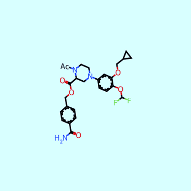 CC(=O)N1CCN(c2ccc(OC(F)F)c(OCC3CC3)c2)CC1C(=O)OCc1ccc(C(N)=O)cc1